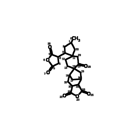 CC1CC(C2CC(=O)OC2=O)C2(CCC3(CC4CC3CC3C(=O)OC(=O)C43)C(=O)C2)C1